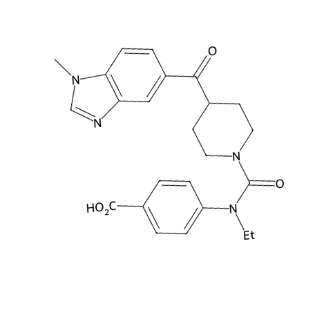 CCN(C(=O)N1CCC(C(=O)c2ccc3c(c2)ncn3C)CC1)c1ccc(C(=O)O)cc1